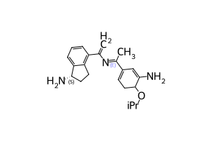 C=C(/N=C(\C)C1=CCC(OC(C)C)C(N)=C1)c1cccc2c1CC[C@@H]2N